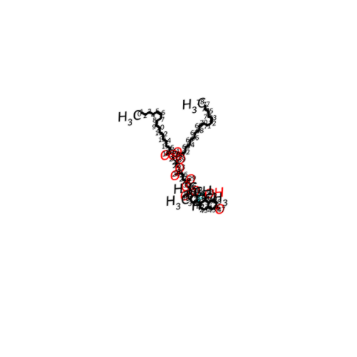 CCCCC/C=C\C/C=C\CCCCCCCC(=O)OC[C@H](COC(=O)CCC(=O)OCC(=O)[C@@]1(OC)[C@H](C)CC2[C@@H]3CCC4=CC(=O)C=C[C@]4(C)[C@@]3(F)[C@@H](O)C[C@@]21C)OC(=O)CCCCCCC/C=C\C/C=C\CCCCC